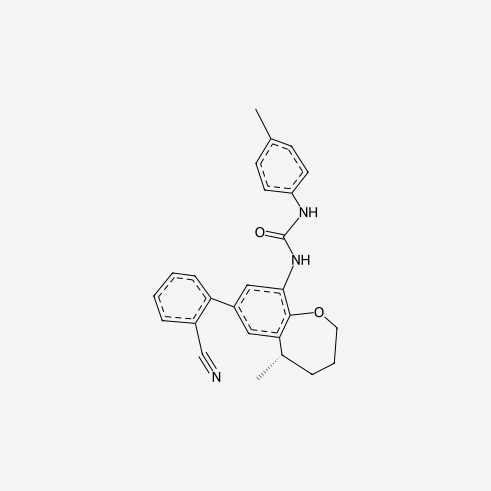 Cc1ccc(NC(=O)Nc2cc(-c3ccccc3C#N)cc3c2OCCC[C@@H]3C)cc1